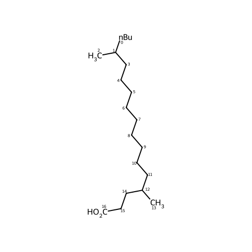 CCCCC(C)CCCCCCCCCC(C)CCC(=O)O